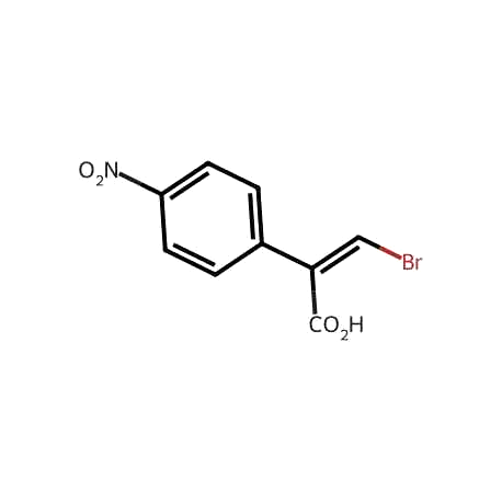 O=C(O)C(=CBr)c1ccc([N+](=O)[O-])cc1